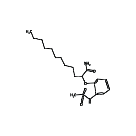 CCCCCCCCCCC(Oc1ccccc1NS(C)(=O)=O)C(N)=O